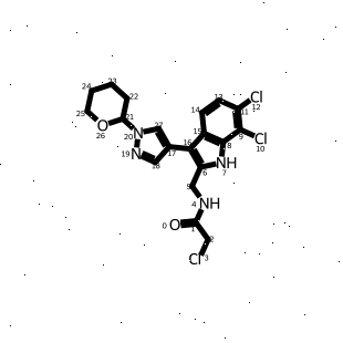 O=C(CCl)NCc1[nH]c2c(Cl)c(Cl)ccc2c1-c1cnn(C2CCCCO2)c1